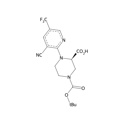 CC(C)(C)OC(=O)N1CCN(c2ncc(C(F)(F)F)cc2C#N)[C@@H](C(=O)O)C1